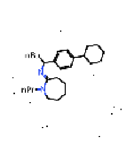 CCCCC(N=C1CCCCCN1CCC)c1ccc(C2CCCCC2)cc1